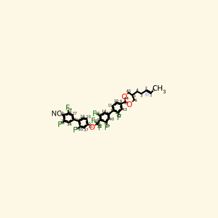 C/C=C/CCC1COC(c2ccc(-c3cc(F)c(C(F)(F)Oc4ccc(-c5cc(F)c(C#N)c(F)c5)c(F)c4)c(F)c3)c(F)c2)OC1